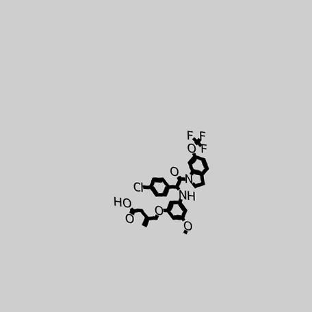 C=C(COc1cc(NC(C(=O)N2CCc3ccc(OC(F)(F)F)cc32)c2ccc(Cl)cc2)cc(OC)c1)CC(=O)O